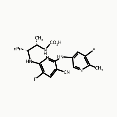 CCC[C@@H](Nc1nc(Nc2cnc(C)c(F)c2)c(C#N)cc1F)[C@H](C)NC(=O)O